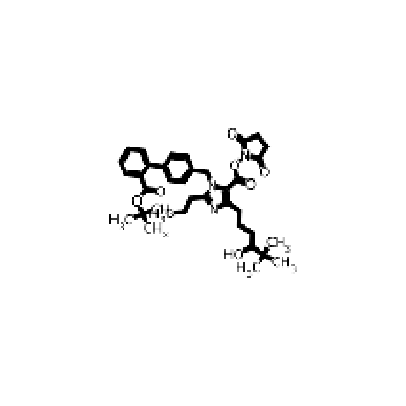 CCCc1nc(CCCC(O)C(C)(C)C)c(C(=O)ON2C(=O)CCC2=O)n1Cc1ccc(-c2ccccc2C(=O)OC(C)(C)C)cc1